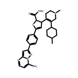 COC(=O)C1SC(c2ccc(-c3cc4nccc(N)n4n3)cc2)=CC1C1=C(C2CCC(C)CC2)CN(C)CC1